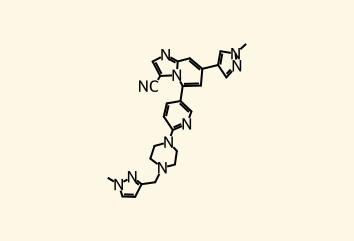 Cn1cc(-c2cc(-c3ccc(N4CCN(Cc5ccn(C)n5)CC4)nc3)n3c(C#N)cnc3c2)cn1